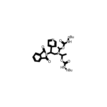 CCCCNC(=O)OC(C)N(CC(c1ccncc1)N1C(=O)c2ccccc2C1=O)C(C)OC(=O)NCCCC